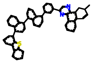 CC1C=Cc2c(c3ncc(-c4cccc(-c5cccc6c(-c7ccc(-c8cccc9c8sc8ccccc89)c8ccccc78)cccc56)c4)nc3c3ccccc23)C1